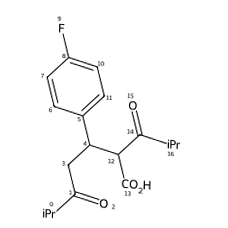 CC(C)C(=O)CC(c1ccc(F)cc1)C(C(=O)O)C(=O)C(C)C